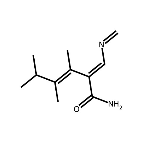 C=N/C=C(C(N)=O)\C(C)=C(/C)C(C)C